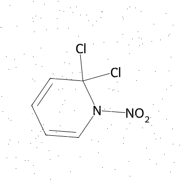 O=[N+]([O-])N1C=CC=CC1(Cl)Cl